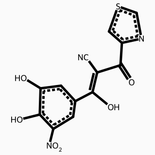 N#C/C(C(=O)c1cscn1)=C(/O)c1cc(O)c(O)c([N+](=O)[O-])c1